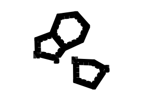 c1ccc2sncc2c1.c1cscn1